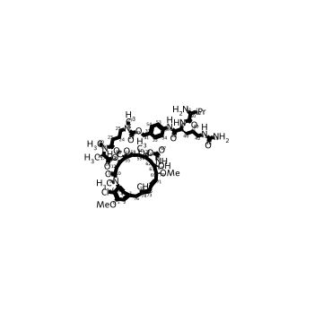 COc1cc2cc(c1Cl)N(C)C(=O)C[C@H](OC(=O)[C@H](C)N(C)C(=O)CCCN(C)C(=O)OCc1ccc(NC(=O)[C@H](CCCNC(N)=O)NC(=O)C(N)C(C)C)cc1)[C@]1(C)OC1[C@H](C)[C@@H]1C[C@@](O)(NC(=O)O1)[C@H](OC)/C=C/C=C(\C)C2